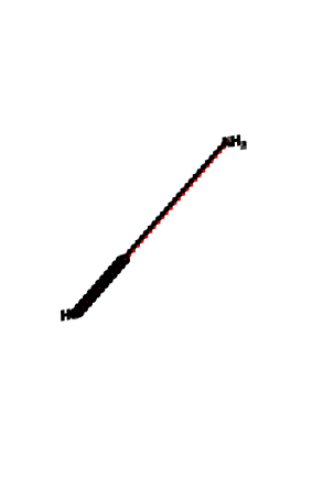 NCCCCCCCCCCCCCCCCCCCCCCCCCCCCCCCCCCCCCCCCCCCCCCCCCOOOOOOOOOOOOOOOOOOOOOOOO